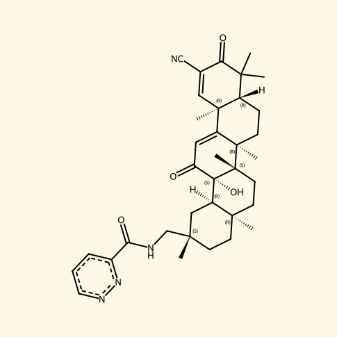 CC1(C)C(=O)C(C#N)=C[C@]2(C)C3=CC(=O)[C@]4(O)[C@@H]5C[C@@](C)(CNC(=O)c6cccnn6)CC[C@]5(C)CC[C@@]4(C)[C@]3(C)CC[C@@H]12